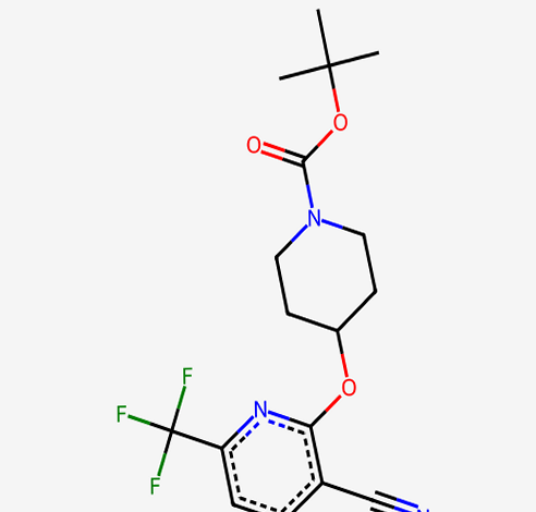 CC(C)(C)OC(=O)N1CCC(Oc2nc(C(F)(F)F)ccc2C#N)CC1